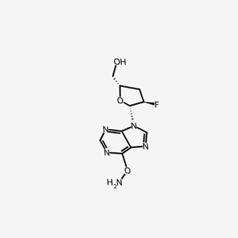 NOc1ncnc2c1ncn2[C@@H]1O[C@H](CO)C[C@H]1F